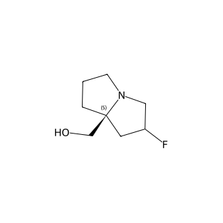 OC[C@@]12CCCN1CC(F)C2